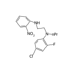 CCCN(CCNc1ccccc1[N+](=O)[O-])c1ccc(Cl)cc1F